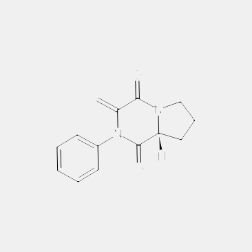 C=C1C(=O)N2CCC[C@@H]2C(=O)N1c1ccccc1